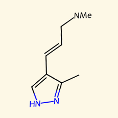 CNC/C=C/c1c[nH]nc1C